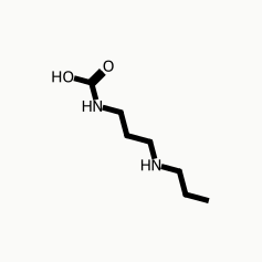 CCCNCCCNC(=O)O